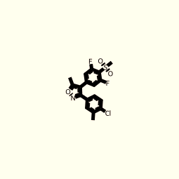 Cc1cc(-c2noc(C)c2-c2cc(F)c(S(C)(=O)=O)c(F)c2)ccc1Cl